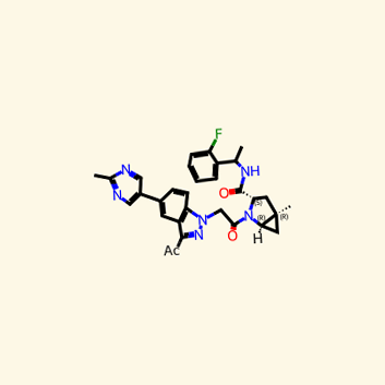 CC(=O)c1nn(CC(=O)N2[C@H](C(=O)NC(C)c3ccccc3F)C[C@@]3(C)C[C@@H]23)c2ccc(-c3cnc(C)nc3)cc12